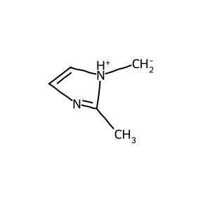 [CH2-][NH+]1C=CN=C1C